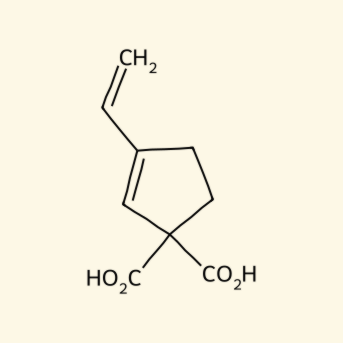 C=CC1=CC(C(=O)O)(C(=O)O)CC1